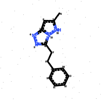 Cc1cc2nnc(CCc3ccccc3)n2[nH]1